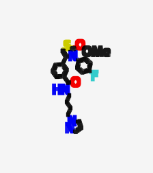 COc1cc(F)ccc1-n1c(-c2cccc(C(=O)NCCCCn3cccn3)c2)csc1=O